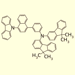 CC1(C)c2ccccc2-c2cc(N(c3cccc(-c4ccc(-n5c6ccccc6c6ccccc65)c5ccccc45)c3)c3cccc4c3-c3ccccc3C4(C)C)ccc21